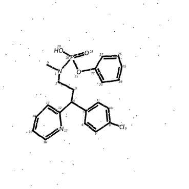 CN(CCC(c1ccc(Cl)cc1)c1ccccn1)P(=O)(O)Oc1ccccc1